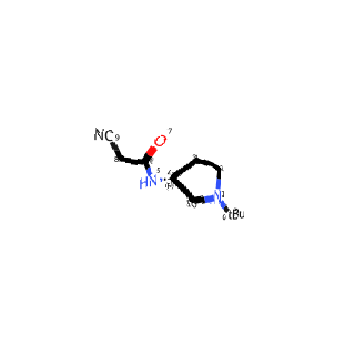 CC(C)(C)N1CC[C@@H](NC(=O)CC#N)C1